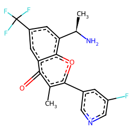 Cc1c(-c2cncc(F)c2)oc2c([C@@H](C)N)cc(C(F)(F)F)cc2c1=O